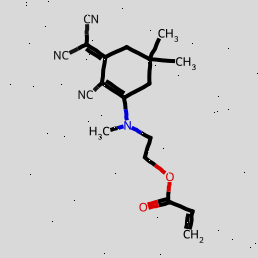 C=CC(=O)OCCN(C)C1=C(C#N)C(=C(C#N)C#N)CC(C)(C)C1